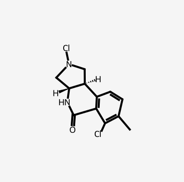 Cc1ccc2c(c1Cl)C(=O)N[C@@H]1CN(Cl)C[C@@H]21